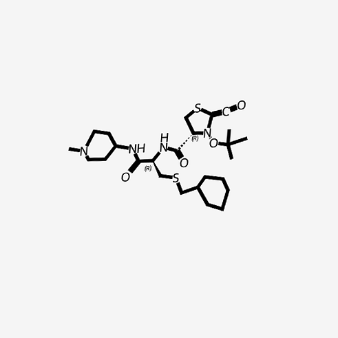 CN1CCC(NC(=O)[C@H](CSCC2CCCCC2)NC(=O)[C@@H]2CSC(=C=O)N2OC(C)(C)C)CC1